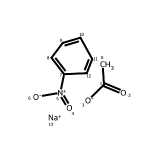 CC(=O)[O-].O=[N+]([O-])c1ccccc1.[Na+]